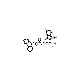 Cc1cnc2[nH]cc(C[C@H](NC(=O)OCC3c4ccccc4-c4ccccc43)C(=O)O)c2c1